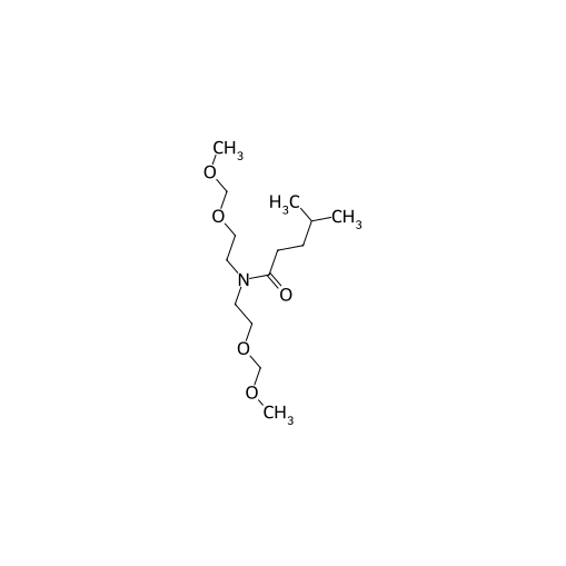 COCOCCN(CCOCOC)C(=O)CCC(C)C